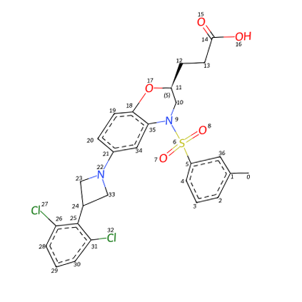 Cc1cccc(S(=O)(=O)N2C[C@H](CCC(=O)O)Oc3ccc(N4CC(c5c(Cl)cccc5Cl)C4)cc32)c1